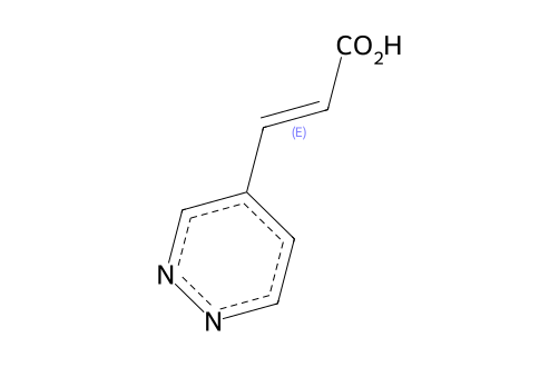 O=C(O)/C=C/c1ccnnc1